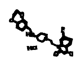 Cl.O=c1cc(Cl)c2ccc(F)cc2n1CCN1CCC(NCc2ccc3c(c2)OCCO3)CC1